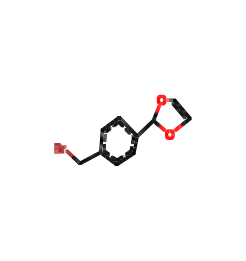 BrCc1ccc(C2OC=CO2)cc1